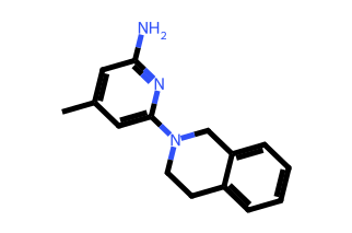 Cc1cc(N)nc(N2CCc3ccccc3C2)c1